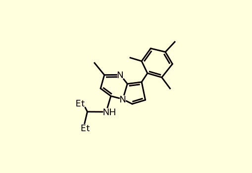 CCC(CC)Nc1cc(C)nc2c(-c3c(C)cc(C)cc3C)ccn12